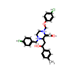 Cc1ccc(C(O)CC2C(=C=O)N(COc3ccc(Cl)cc3)CCN2Cc2ccc(F)cc2)cc1